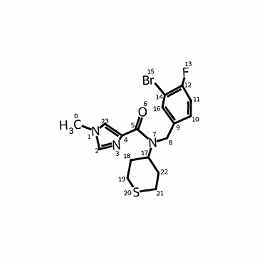 Cn1cnc(C(=O)N(Cc2ccc(F)c(Br)c2)C2CCSCC2)c1